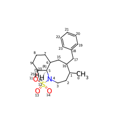 CC1CCN2[C@@H]3C(CCC[C@@H]3OS2(=O)=O)CC1Cc1ccccc1